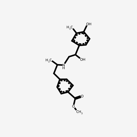 COC(=O)c1ccc(CC(C)NCC(O)c2ccc(O)c(C)c2)cc1